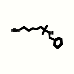 CCCCCCCCCCCCCCCC(C)(C)NCc1ccccc1